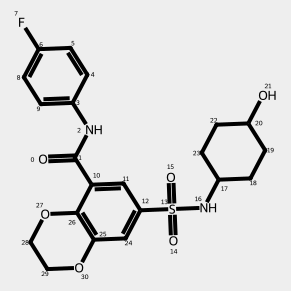 O=C(Nc1ccc(F)cc1)c1cc(S(=O)(=O)NC2CCC(O)CC2)cc2c1OCCO2